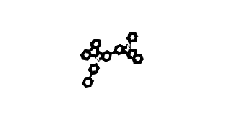 c1ccc(-c2ccc(-n3c4ccc(-c5ccc6c(c5)c5cc7ccccc7cc5n6-c5ccccc5)cc4c4c5ccccc5c5ccccc5c43)cc2)cc1